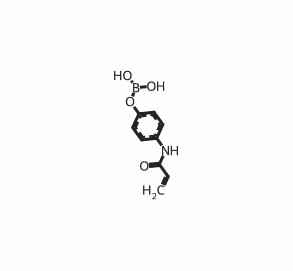 C=CC(=O)Nc1ccc(OB(O)O)cc1